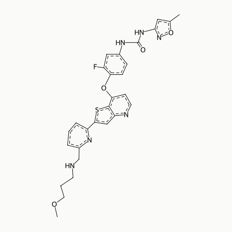 COCCCNCc1cccc(-c2cc3nccc(Oc4ccc(NC(=O)Nc5cc(C)on5)cc4F)c3s2)n1